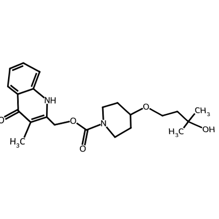 Cc1c(COC(=O)N2CCC(OCCC(C)(C)O)CC2)[nH]c2ccccc2c1=O